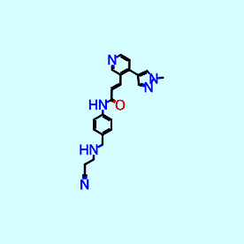 Cn1cc(-c2ccncc2/C=C/C(=O)Nc2ccc(CNCCC#N)cc2)cn1